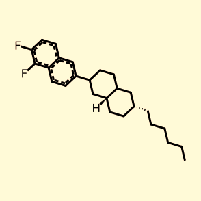 CCCCCC[C@@H]1CC[C@@H]2CC(c3ccc4c(F)c(F)ccc4c3)CCC2C1